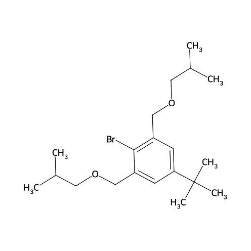 CC(C)COCc1cc(C(C)(C)C)cc(COCC(C)C)c1Br